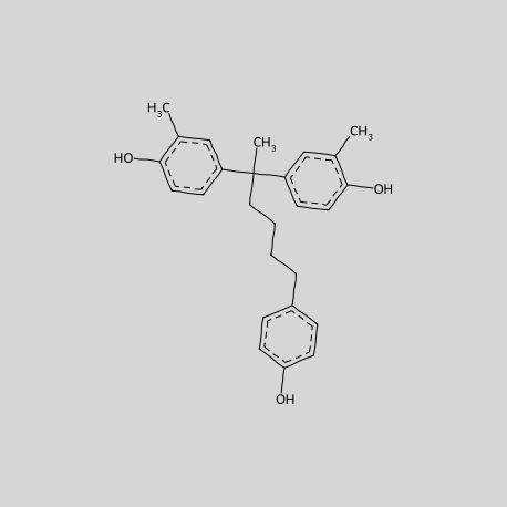 Cc1cc(C(C)(CCCCc2ccc(O)cc2)c2ccc(O)c(C)c2)ccc1O